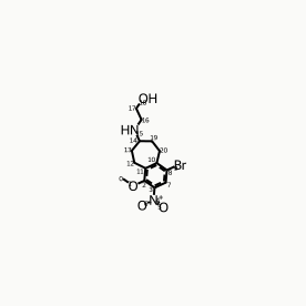 COc1c([N+](=O)[O-])cc(Br)c2c1CCC(NCCO)CC2